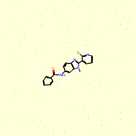 Cn1c(-c2cccnc2F)nc2ccc(NC(=O)c3ccccc3)cc21